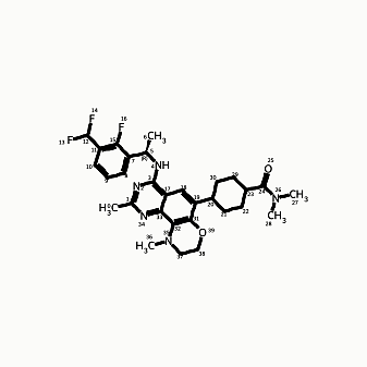 Cc1nc(N[C@H](C)c2cccc(C(F)F)c2F)c2cc(C3CCC(C(=O)N(C)C)CC3)c3c(c2n1)N(C)CCO3